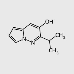 CC(C)c1nn2cccc2cc1O